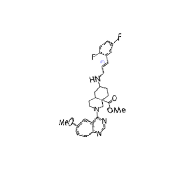 COC(=O)C12CCC(NC/C=C/c3cc(F)ccc3F)CC1CCN(c1ncnc3ccc(OC)cc13)C2